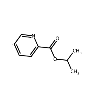 CC(C)OC(=O)c1cc[c]cn1